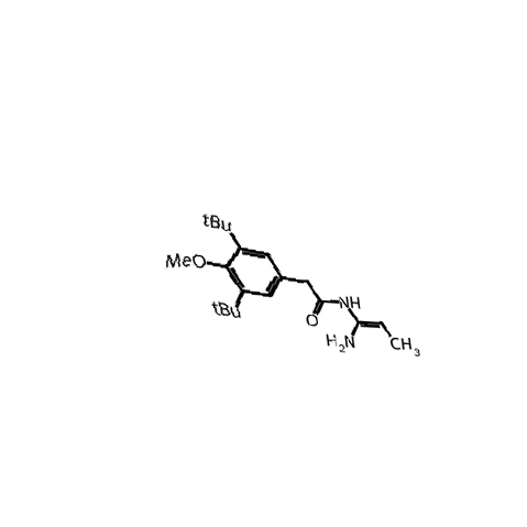 CC=C(N)NC(=O)Cc1cc(C(C)(C)C)c(OC)c(C(C)(C)C)c1